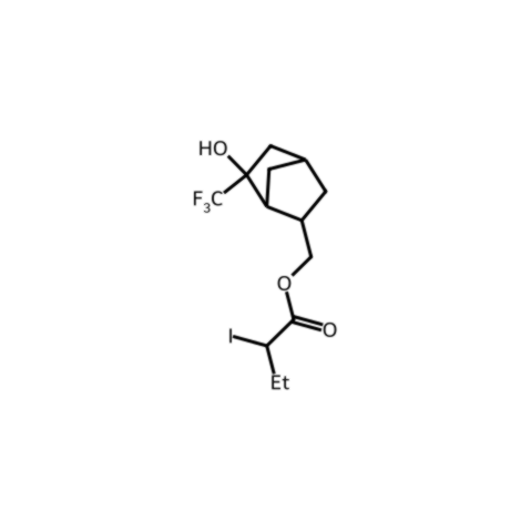 CCC(I)C(=O)OCC1CC2CC1C(O)(C(F)(F)F)C2